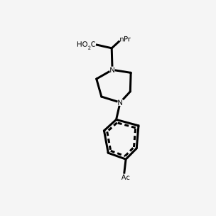 CCCC(C(=O)O)N1CCN(c2ccc(C(C)=O)cc2)CC1